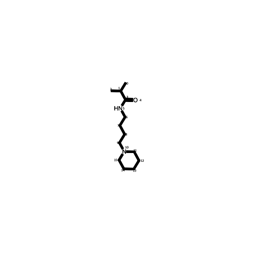 CC(C)C(=O)NCCCCN1CCCCC1